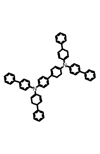 C1=CC(c2ccccc2)CC=C1N(C1=CC=C(c2ccc(N(C3=CCC(c4ccccc4)C=C3)c3ccc(-c4ccccc4)cc3)cc2)CC1)c1ccc(-c2ccccc2)cc1